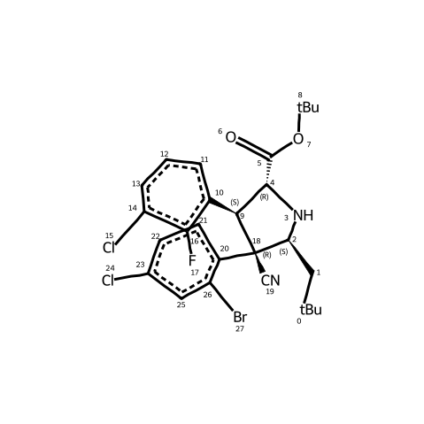 CC(C)(C)C[C@@H]1N[C@@H](C(=O)OC(C)(C)C)[C@H](c2cccc(Cl)c2F)[C@@]1(C#N)c1ccc(Cl)cc1Br